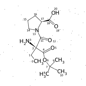 CC[C@@](N)(C(=O)OC(C)(C)C)C(=O)N1CCC[C@H]1C(=O)O